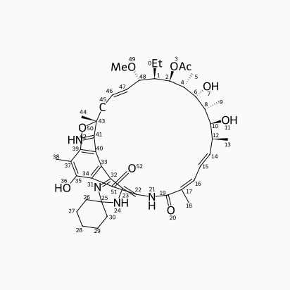 CC[C@H]1[C@@H](OC(C)=O)[C@H](C)[C@H](O)[C@H](C)[C@@H](O)[C@@H](C)/C=C/C=C(/C)C(=O)NC2=C3NC4(CCCCC4)N=C3c3c(c(O)c(C)c4c3C(=N)[C@@](C)(C/C=C/[C@@H]1OC)O4)C2=O